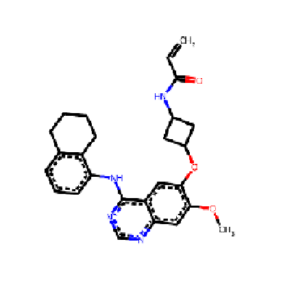 C=CC(=O)NC1CC(Oc2cc3c(Nc4cccc5c4CCCC5)ncnc3cc2OC)C1